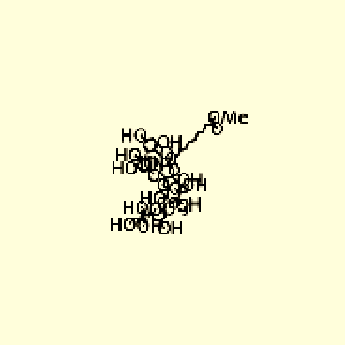 COC(=O)CCCCCCCCOC1OC(CO)C(OC2OC(CO)C(O)C(OC3(C(=O)O)CC(O)CC([C@H](O)[C@H](O)CO)O3)C2O)C(OC2=CC(O)C(O)C(C)O2)C1NC(=O)c1ccc(O)cc1O